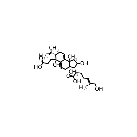 C=C(C)[C@@H]1CC=C2C(=CC[C@]3(C)[C@@H]([C@@H](CC/C=C(\C)CO)C(=O)O)[C@H](O)C[C@@]23C)[C@@]1(C)CCC(=O)O